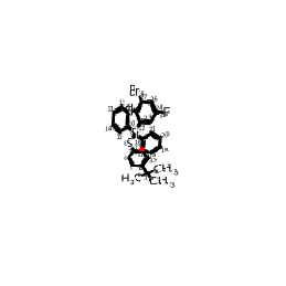 CC(C)(C)c1ccc(S[Si](c2ccccc2)(c2ccccc2)c2cc(F)cc(Br)c2Cl)cc1